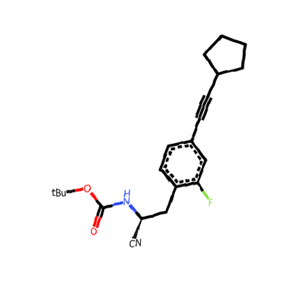 CC(C)(C)OC(=O)N[C@H](C#N)Cc1ccc(C#CC2CCCC2)cc1F